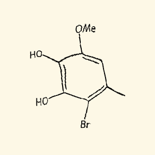 COc1cc(C)c(Br)c(O)c1O